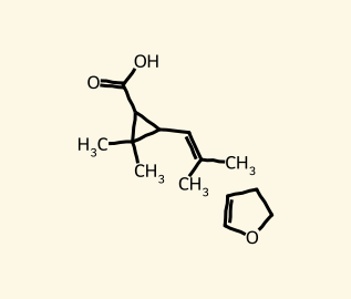 C1=COCC1.CC(C)=CC1C(C(=O)O)C1(C)C